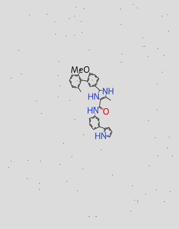 COc1ccc(C2NC(C)=C(C(=O)Nc3cccc(-c4ccc[nH]4)c3)N2)cc1-c1c(C)cccc1C